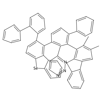 Cc1cc2c(c(-c3c(-c4ccccc4)ccc(-c4c(-c5ccccc5-c5ccccc5)ccc5[se]c6ccccc6c45)c3-c3ccnnn3)c1C)Cc1ccccc1-2